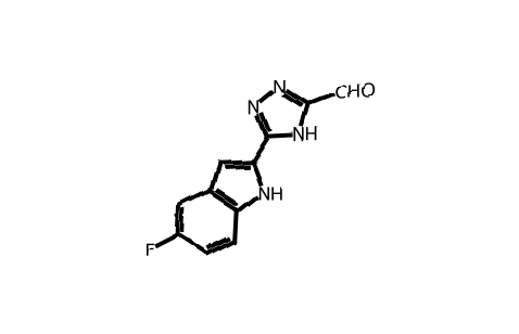 O=Cc1nnc(-c2cc3cc(F)ccc3[nH]2)[nH]1